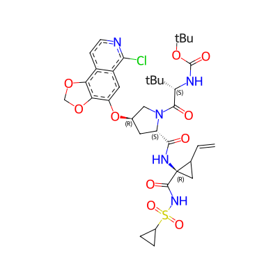 C=CC1C[C@]1(NC(=O)[C@@H]1C[C@@H](Oc2cc3c(Cl)nccc3c3c2OCO3)CN1C(=O)[C@@H](NC(=O)OC(C)(C)C)C(C)(C)C)C(=O)NS(=O)(=O)C1CC1